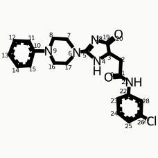 O=C(CC1NC(N2CCN(c3ccccc3)CC2)=NC1=O)Nc1cccc(Cl)c1